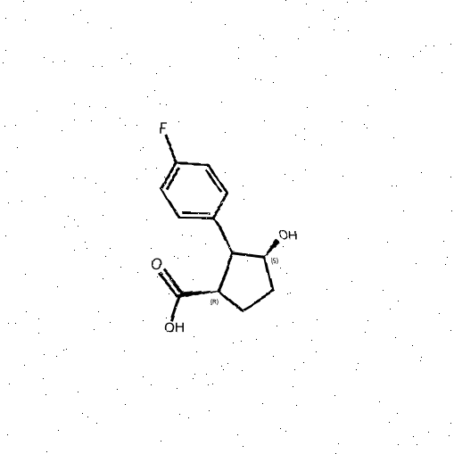 O=C(O)[C@@H]1CC[C@H](O)C1c1ccc(F)cc1